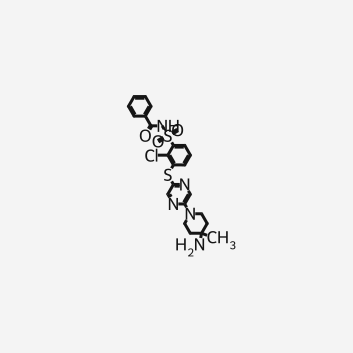 CC1(N)CCN(c2cnc(Sc3cccc(S(=O)(=O)NC(=O)c4ccccc4)c3Cl)cn2)CC1